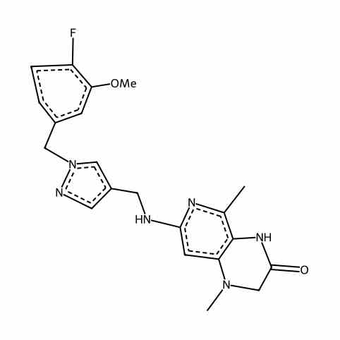 COc1cc(Cn2cc(CNc3cc4c(c(C)n3)NC(=O)CN4C)cn2)ccc1F